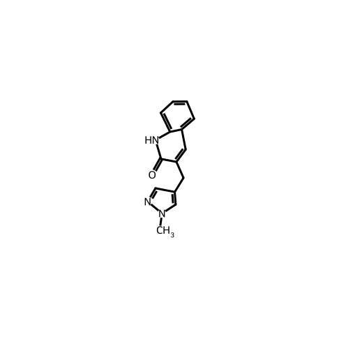 Cn1cc(Cc2cc3ccccc3[nH]c2=O)cn1